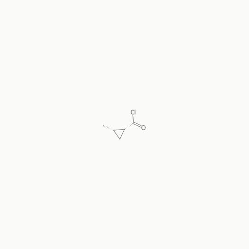 C[C@H]1C[C@H]1C(=O)Cl